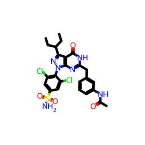 CCC(CC)c1nn(-c2c(Cl)cc(S(N)(=O)=O)cc2Cl)c2nc(Cc3cccc(NC(C)=O)c3)[nH]c(=O)c12